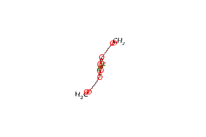 C=CC(=O)OCCCCCCCCCCCCCOc1ccc(C(=O)Oc2cc(F)c(OC(=O)c3ccc(OCCCCCCCCCCCCCOC(=O)C=C)cc3)cc2F)cc1